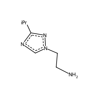 CC(C)c1ncn(CCN)n1